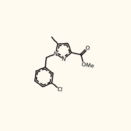 COC(=O)c1cc(C)n(Cc2cccc(Cl)c2)n1